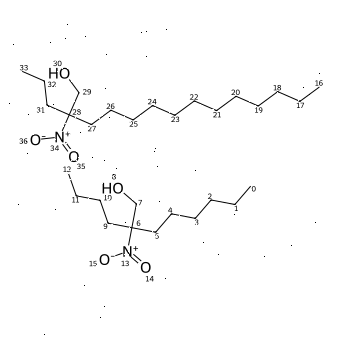 CCCCCCC(CO)(CCCC)[N+](=O)[O-].CCCCCCCCCCCCC(CO)(CCC)[N+](=O)[O-]